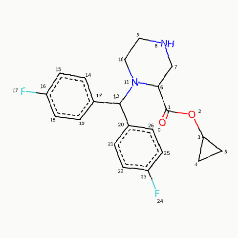 O=C(OC1CC1)C1CNCCN1C(c1ccc(F)cc1)c1ccc(F)cc1